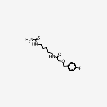 NC(=S)NCCCCCNC(=O)COCc1ccc(F)cc1